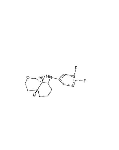 O[C@]12COCC[C@H]1CCCC2Nc1ccc(F)c(F)c1